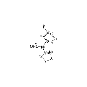 O=CN(C1=NCCS1)c1cccc(F)c1